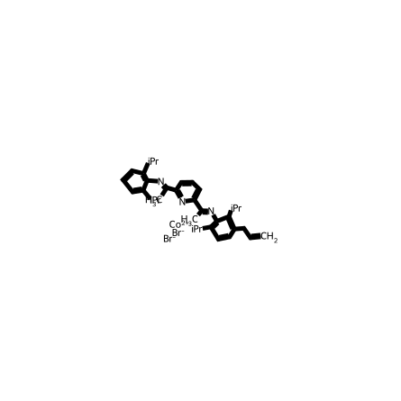 C=CCc1ccc(C(C)C)c(/N=C(\C)c2cccc(/C(C)=N/c3c(C(C)C)cccc3C(C)C)n2)c1C(C)C.[Br-].[Br-].[Co+2]